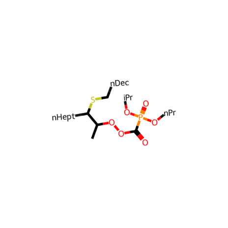 CCCCCCCCCCCSC(CCCCCCC)C(C)OOC(=O)P(=O)(OCCC)OC(C)C